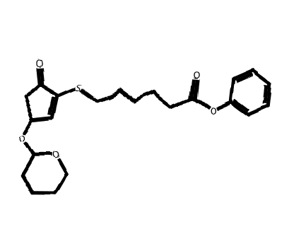 O=C(CCCCCSC1=CC(OC2CCCCO2)CC1=O)Oc1ccccc1